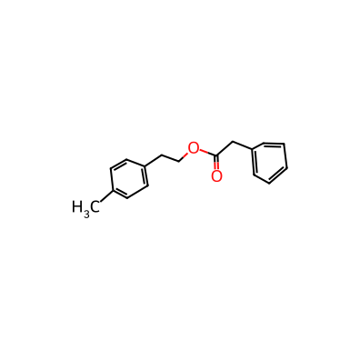 Cc1ccc(CCOC(=O)Cc2ccccc2)cc1